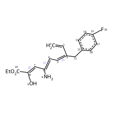 C=C\C(=C/C=C(N)/C=C(\O)C(=O)OCC)Cc1ccc(F)cc1